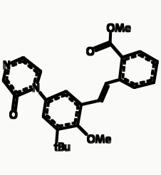 COC(=O)c1ccccc1C=Cc1cc(-n2ccncc2=O)cc(C(C)(C)C)c1OC